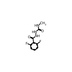 CNC(=O)NNC(=O)c1c(F)cccc1F